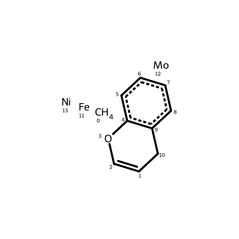 C.C1=COc2ccccc2C1.[Fe].[Mo].[Ni]